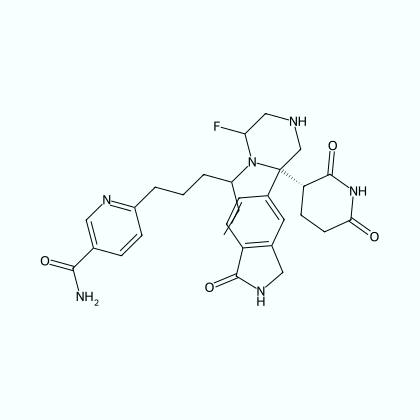 CCC(CCCc1ccc(C(N)=O)cn1)N1C(F)CNCC1(c1ccc2c(c1)CNC2=O)[C@H]1CCC(=O)NC1=O